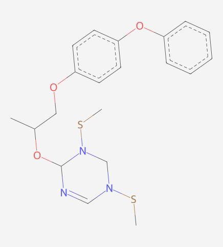 CSN1C=NC(OC(C)COc2ccc(Oc3ccccc3)cc2)N(SC)C1